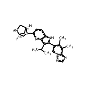 Cc1c(-c2[nH]c3ccc(N4C[C@@H]5C[C@H]4CN5)nc3c2C(C)C)cn2ncnc2c1C